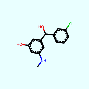 CNc1cc(O)cc(C(O)c2cccc(Cl)c2)c1